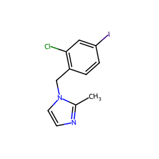 Cc1nccn1Cc1ccc(I)cc1Cl